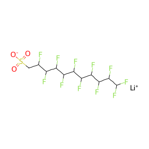 O=S(=O)([O-])CC(F)C(F)C(F)C(F)C(F)C(F)C(F)C(F)C(F)C(F)F.[Li+]